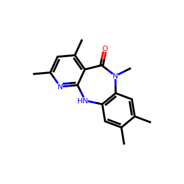 Cc1cc(C)c2c(n1)Nc1cc(C)c(C)cc1N(C)C2=O